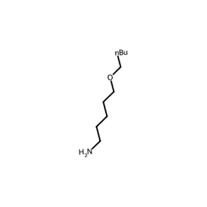 CCCCCOCCCCCN